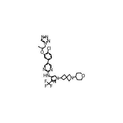 C[C@@H](Cn1cnnn1)Oc1cc(-c2cnc(Nc3cn(C4CC5(C4)CN(C4CCOCC4)C5)nc3C(F)(F)F)nc2)ccc1Cl